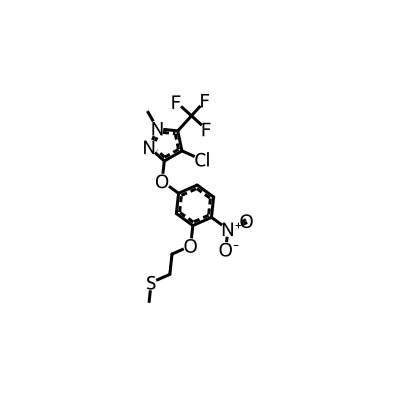 CSCCOc1cc(Oc2nn(C)c(C(F)(F)F)c2Cl)ccc1[N+](=O)[O-]